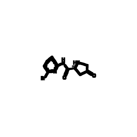 O=C1CN[C@H](C(=O)Nc2cccc(Br)n2)C1